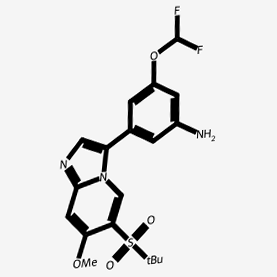 COc1cc2ncc(-c3cc(N)cc(OC(F)F)c3)n2cc1S(=O)(=O)C(C)(C)C